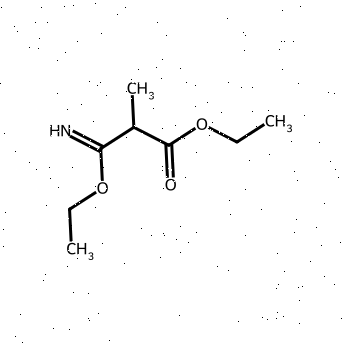 CCOC(=N)C(C)C(=O)OCC